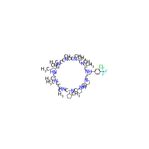 CC[C@H](C)[C@H]1CN(C)CCN(C)CCN(C)[C@@H](C)CN(C)[C@H](C)CN[C@@H](CCc2ccc(C(F)(F)F)c(Cl)c2)CN2CCC[C@H]2CNC2(CCCC2)CN(C)[C@@H](C2CCCC2)CN[C@H](C)CCN(C)[C@@H](C)CN1